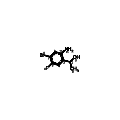 CC(O)c1cc(F)c(Br)cc1N